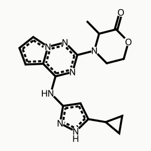 CC1C(=O)OCCN1c1nc(Nc2cc(C3CC3)[nH]n2)c2cccn2n1